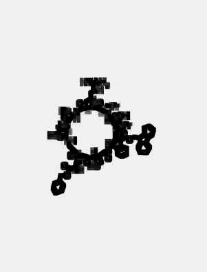 CC[C@H](C)[C@@H]1NC(=O)[C@@H](CCCNC(=N)N)NC(=O)[C@H](CC(C)C)NC(=O)[C@H]([C@H](O)C(C)C)NC(=O)[C@@H](NC(=O)OCC2c3ccccc3-c3ccccc32)[C@@H](c2ccccc2)NC(=O)C(CO)NC(=O)[C@H](CCNC(=O)OCc2ccccc2)NC(=O)CNC(=O)[C@H]([C@H](C)O)NC1=O